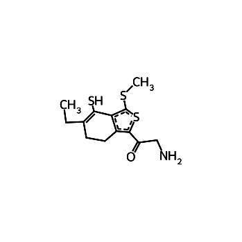 CCC1=C(S)c2c(SC)sc(C(=O)CN)c2CC1